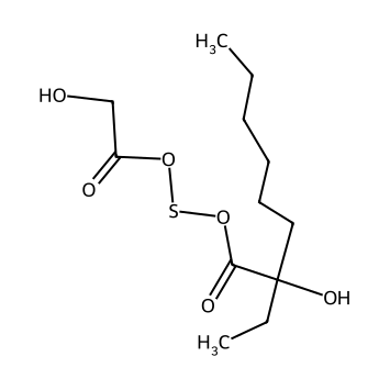 CCCCCCC(O)(CC)C(=O)OSOC(=O)CO